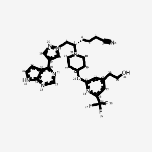 N#CCCC[C@@H](Cn1cc(-c2ncnc3[nH]ccc23)cn1)N1CCC(Oc2cc(CCO)cc(C(F)(F)F)n2)CC1